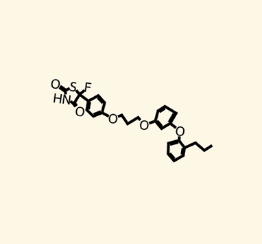 CCCc1ccccc1Oc1cccc(OCCCOc2ccc(C3(F)SC(=O)NC3=O)cc2)c1